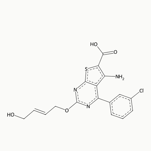 Nc1c(C(=O)O)sc2nc(OCC=CCO)nc(-c3cccc(Cl)c3)c12